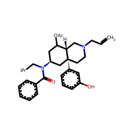 C=CCN1CC[C@@]2(c3cccc(O)c3)C[C@@H](N(CC(C)C)C(=O)c3ccccc3)CC(OC(C)=O)[C@@H]2C1